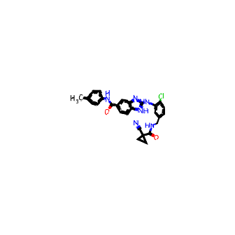 Cc1ccc(NC(=O)c2ccc3[nH]c(Nc4cc(CNC(=O)C5(C#N)CC5)ccc4Cl)nc3c2)cc1